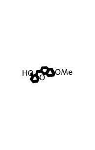 COc1ccc2c(c1)CC/C(=C/c1ccccc1O)C2=O